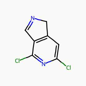 Clc1cc2c(c(Cl)n1)C=NC2